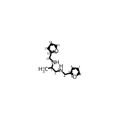 CC(CNCc1ccco1)NCc1ccco1